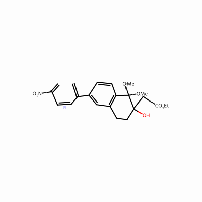 C=C(/C=C\C(=C)[N+](=O)[O-])c1ccc2c(c1)CCC(O)(CC(=O)OCC)C2(OC)OC